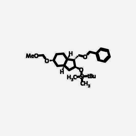 COCO[C@@H]1CC[C@@H]2[C@H](C1)C[C@H](O[Si](C)(C)C(C)(C)C)[C@H]2COCc1ccccc1